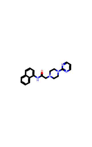 O=C(CN1CCN(c2ncccn2)CC1)Nc1cccc2ccccc12